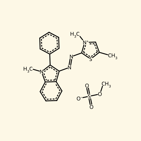 COS(=O)(=O)[O-].Cc1c[n+](C)c(N=Nc2c(-c3ccccc3)n(C)c3ccccc23)s1